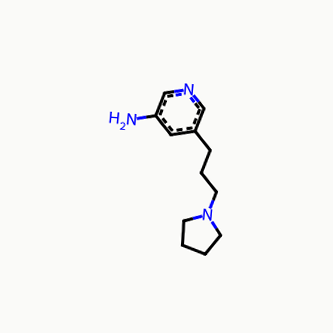 Nc1cncc(CCCN2CCCC2)c1